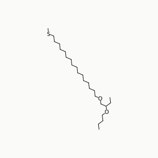 CCCCOC(CC)COCCCCCCCCCCCCCCCCSC